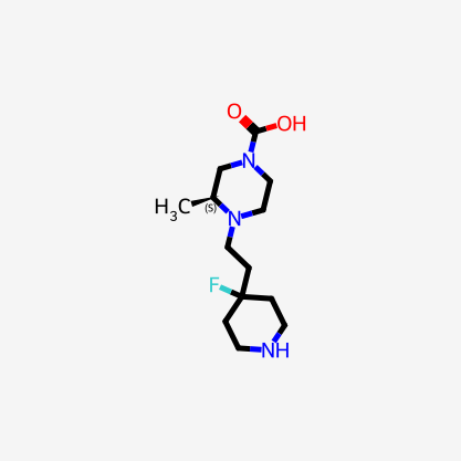 C[C@H]1CN(C(=O)O)CCN1CCC1(F)CCNCC1